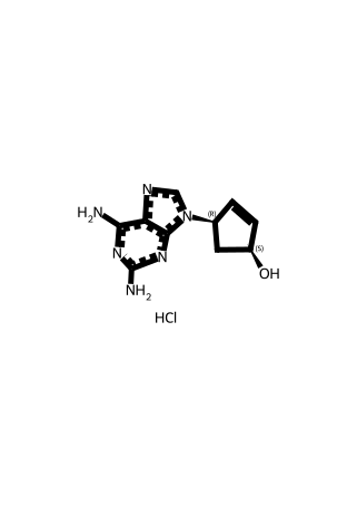 Cl.Nc1nc(N)c2ncn([C@H]3C=C[C@@H](O)C3)c2n1